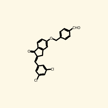 O=Cc1ccc(COc2ccc3c(c2)C/C(=C\c2cc(Cl)cc(Cl)c2)C3=O)cc1